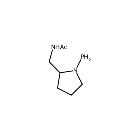 CC(=O)NCC1CCCN1P